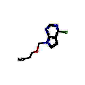 CC(=O)OCCOCn1ccc2c(Cl)ncnc21